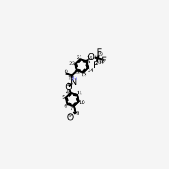 C/C(=N\Oc1ccc(C=O)cc1)c1ccc(OC(F)(F)F)cc1